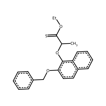 CCOC(=S)C(C)Oc1c(OCc2ccccc2)ccc2ccccc12